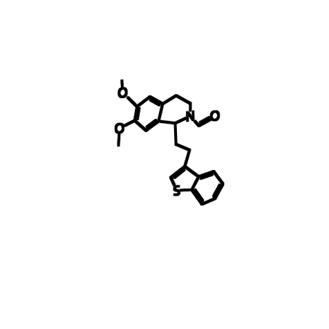 COc1cc2c(cc1OC)C(CCc1csc3ccccc13)N(C=O)CC2